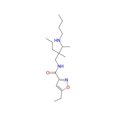 CCCCNC(C)C(C)(CCC)CNC(=O)c1cc(CC)on1